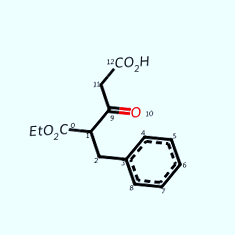 CCOC(=O)C(Cc1ccccc1)C(=O)CC(=O)O